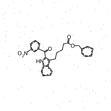 O=C(CCCCc1c(C(=O)c2cccc([N+](=O)[O-])c2)[nH]c2ccccc12)OCc1ccccc1